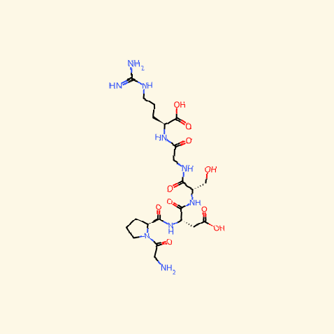 N=C(N)NCCC[C@H](NC(=O)CNC(=O)[C@H](CO)NC(=O)[C@H](CC(=O)O)NC(=O)[C@@H]1CCCN1C(=O)CN)C(=O)O